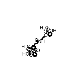 CCc1cc(CCC(=O)NCCCCOc2cccc(O)c2C(=O)OC)ccc1N(C(=O)C(=O)O)c1ccccc1C(=O)O